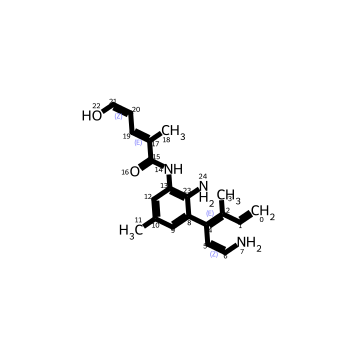 C=C/C(C)=C(\C=C/N)c1cc(C)cc(NC(=O)/C(C)=C/C=C\O)c1N